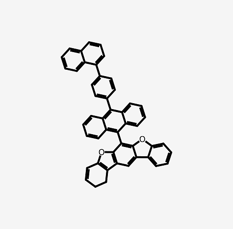 C1=Cc2oc3c(-c4c5ccccc5c(-c5ccc(-c6cccc7ccccc67)cc5)c5ccccc45)c4oc5ccccc5c4cc3c2CC1